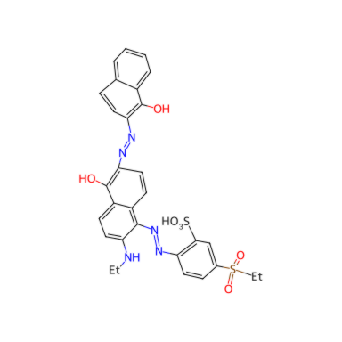 CCNc1ccc2c(O)c(/N=N/c3ccc4ccccc4c3O)ccc2c1/N=N/c1ccc(S(=O)(=O)CC)cc1S(=O)(=O)O